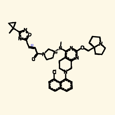 CN(c1nc(OCC23CCCN2CCC3)nc2c1CCN(c1cccc3cccc(Cl)c13)C2)[C@@H]1CCN(C(=O)/C=C/c2nc(C3(C)CC3)no2)C1